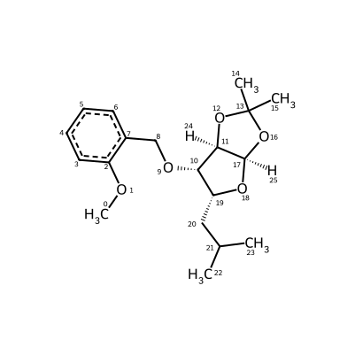 COc1ccccc1CO[C@@H]1[C@H]2OC(C)(C)O[C@H]2O[C@@H]1CC(C)C